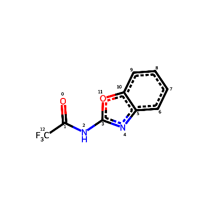 O=C(Nc1nc2ccccc2o1)C(F)(F)F